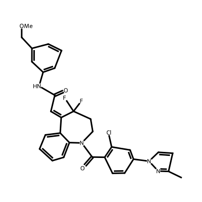 COCc1cccc(NC(=O)C=C2c3ccccc3N(C(=O)c3ccc(-n4ccc(C)n4)cc3Cl)CCC2(F)F)c1